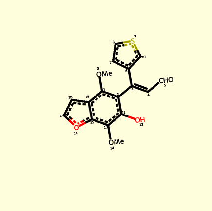 COc1c(C(=CC=O)c2ccsc2)c(O)c(OC)c2occc12